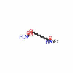 CCCNC(=O)CCCCCCCCCCC(=O)OC(=O)CN